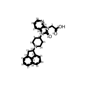 O=C(O)Cn1c(=O)n(C2CCN(C3Cc4cccc5cccc3c45)CC2)c2cccnc21